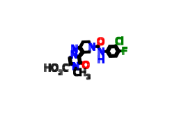 Cn1c(C(=O)O)cn2nc3c(c2c1=O)CN(C(=O)Nc1ccc(F)c(Cl)c1)CC3